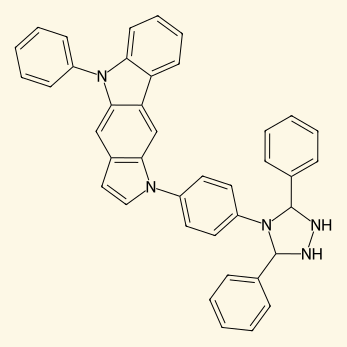 c1ccc(C2NNC(c3ccccc3)N2c2ccc(-n3ccc4cc5c(cc43)c3ccccc3n5-c3ccccc3)cc2)cc1